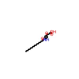 CCCCCCCCC=CCCCCCCCC(=O)Nc1ccc(C(=O)CCC(=O)O)cc1